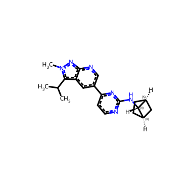 CC(C)c1c2cc(-c3ccnc(N[C@H]4[C@@H]5CC[C@H]4C5)n3)cnc2nn1C